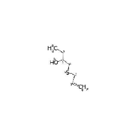 C=CCSCC(O)CC